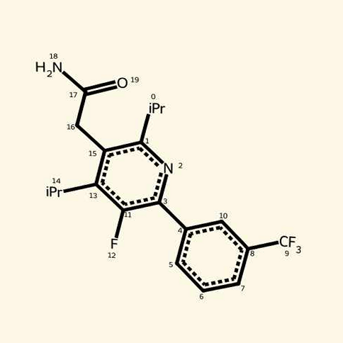 CC(C)c1nc(-c2cccc(C(F)(F)F)c2)c(F)c(C(C)C)c1CC(N)=O